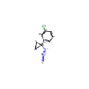 [N-]=[N+]=NC1(c2cccc(F)c2)CC1